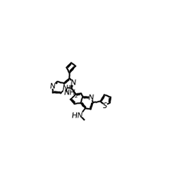 CNc1cc(-c2cccs2)nc2cc(C3=NC(C4=CC=C4)=C4C=NC=C[N+]34N)ccc12